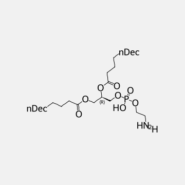 [2H]NCCOP(=O)(O)OC[C@@H](COC(=O)CCCCCCCCCCCCC)OC(=O)CCCCCCCCCCCCC